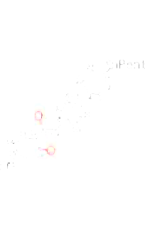 CCCCC[C@H]1CC[C@H](c2ccc(CC(=O)C3CCC(CC)CC3=O)cc2)CC1